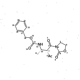 CC(=O)[C@@H](C(=O)N1CCOC1=O)[C@H](C)NC(=O)OCc1ccccc1